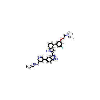 CCNCc1cncc(-c2ccc3[nH]nc(-c4cc5c(-c6cc(F)cc(OCCN(C)C)c6)cccc5[nH]4)c3c2)c1